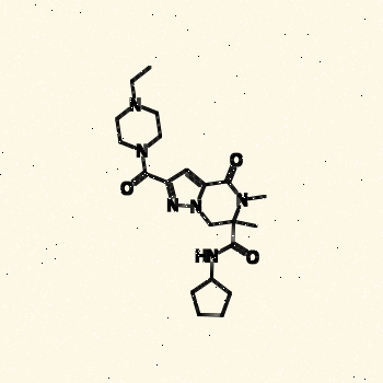 CCN1CCN(C(=O)c2cc3n(n2)CC(C)(C(=O)NC2CCCC2)N(C)C3=O)CC1